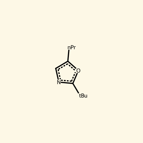 CCCc1cnc(C(C)(C)C)o1